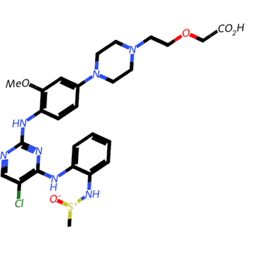 COc1cc(N2CCN(CCOCC(=O)O)CC2)ccc1Nc1ncc(Cl)c(Nc2ccccc2N[S+](C)[O-])n1